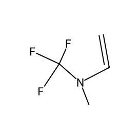 C=CN(C)C(F)(F)F